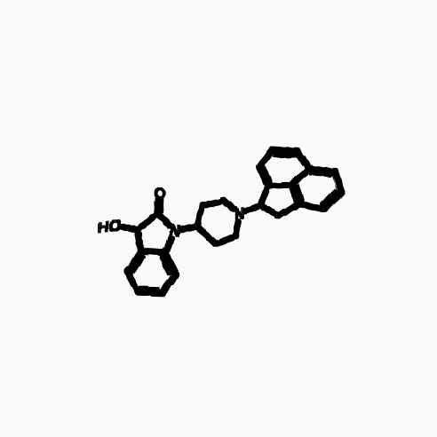 O=C1C(O)c2ccccc2N1C1CCN(C2Cc3cccc4cccc2c34)CC1